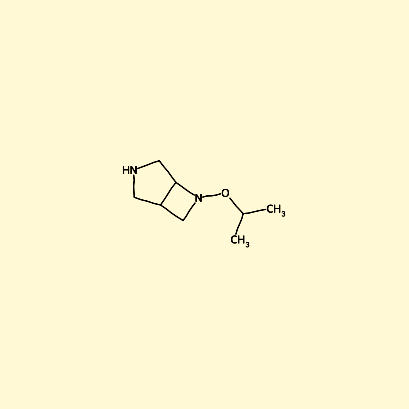 CC(C)ON1CC2CNCC21